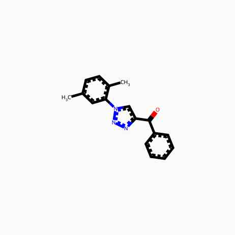 Cc1ccc(C)c(-n2cc(C(=O)c3ccccc3)nn2)c1